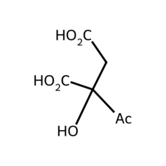 CC(=O)C(O)(CC(=O)O)C(=O)O